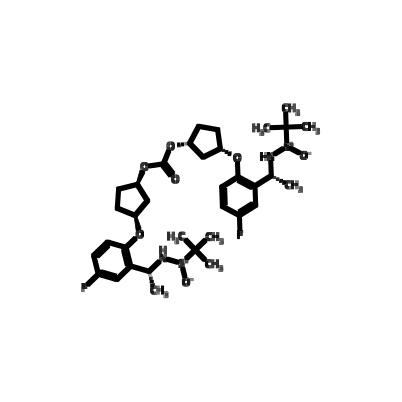 C[C@@H](N[S+]([O-])C(C)(C)C)c1cc(F)ccc1O[C@H]1CC[C@@H](OC(=O)O[C@@H]2CC[C@H](Oc3ccc(F)cc3[C@@H](C)N[S+]([O-])C(C)(C)C)C2)C1